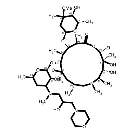 CC[C@H]1OC(=O)[C@H](C)[C@@H](O[C@H]2C[C@@](C)(OC)[C@@H](O)[C@H](C)O2)[C@H](C)[C@@H](O[C@@H]2O[C@H](C)CC(N(C)CC(O)CN3CCOCC3)[C@H]2O)[C@](C)(O)C[C@@H](C)CN(C)[C@H](C)[C@@H](O)[C@]1(C)O